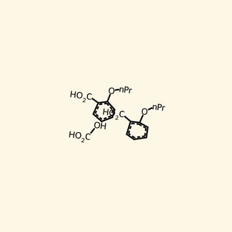 CCCOc1ccccc1C(=O)O.CCCOc1ccccc1C(=O)O.O=C(O)O